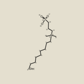 CCCCCCCCCCCCCCCCCC[N+](C)(C)CCCS(=O)(=O)[O-]